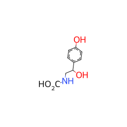 O=C(O)NCC(O)c1ccc(O)cc1